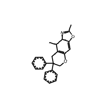 CC1=NC2C(=CC3=C(CC(c4ccccc4)(c4ccccc4)CO3)C2C)O1